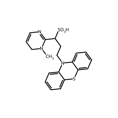 CN1CC=CN=C1C(CCN1c2ccccc2Sc2ccccc21)S(=O)(=O)O